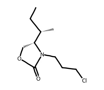 CC[C@H](C)[C@H]1COC(=O)N1CCCCl